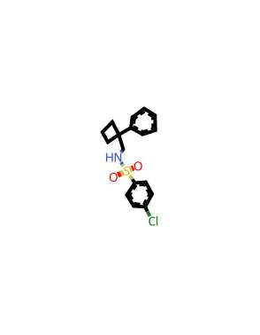 O=S(=O)(NCC1(c2ccccc2)CCC1)c1ccc(Cl)cc1